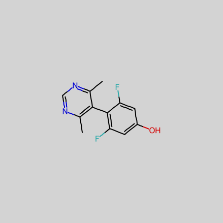 Cc1ncnc(C)c1-c1c(F)cc(O)cc1F